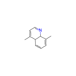 CC1=CC=NC2C(C)=CC=CC12